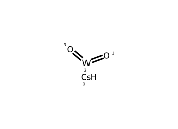 [CsH].[O]=[W]=[O]